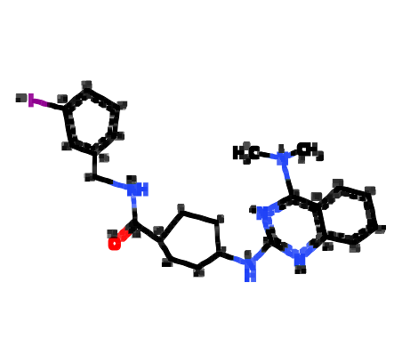 CN(C)c1nc(NC2CCC(C(=O)NCc3cccc(I)c3)CC2)nc2ccccc12